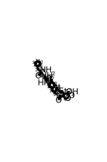 CC[C@@]1(O)C(=O)OCc2c1cc1n(c2=O)Cc2cc3cc(NC(=O)CNC(=O)[C@@H](N)Cc4ccccc4)c(F)cc3nc2-1